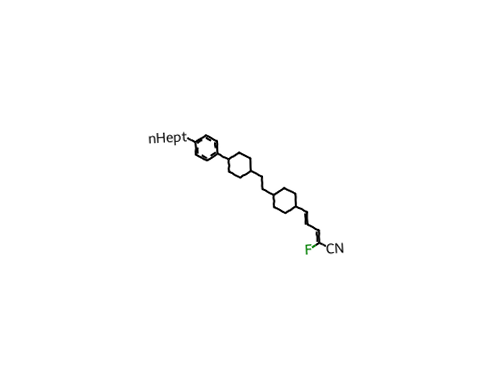 CCCCCCCc1ccc(C2CCC(CCC3CCC(C=CC=C(F)C#N)CC3)CC2)cc1